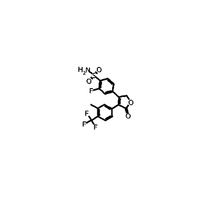 Cc1cc(C2=C(c3ccc(S(N)(=O)=O)c(F)c3)COC2=O)ccc1C(F)(F)F